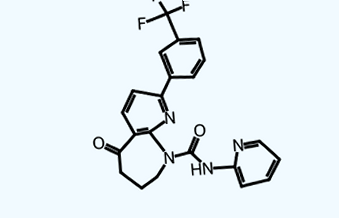 O=C1CCCN(C(=O)Nc2ccccn2)c2nc(-c3cccc(C(F)(F)F)c3)ccc21